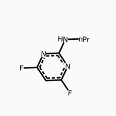 CCCNc1nc(F)cc(F)n1